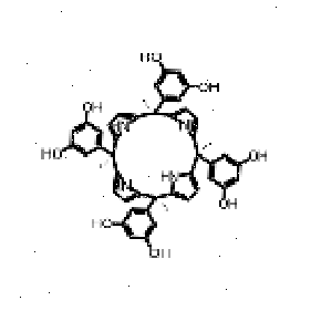 C[C@]1(c2cc(O)cc(O)c2)c2ccc([nH]2)[C@@](C)(c2cc(O)cc(O)c2)c2ccc([nH]2)[C@@](C)(c2cc(O)cc(O)c2)c2ccc([nH]2)[C@@](C)(c2cc(O)cc(O)c2)c2ccc1[nH]2